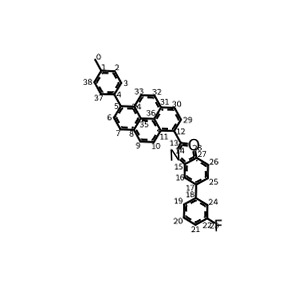 Cc1ccc(-c2ccc3ccc4c(-c5nc6cc(-c7cccc(F)c7)ccc6o5)ccc5ccc2c3c54)cc1